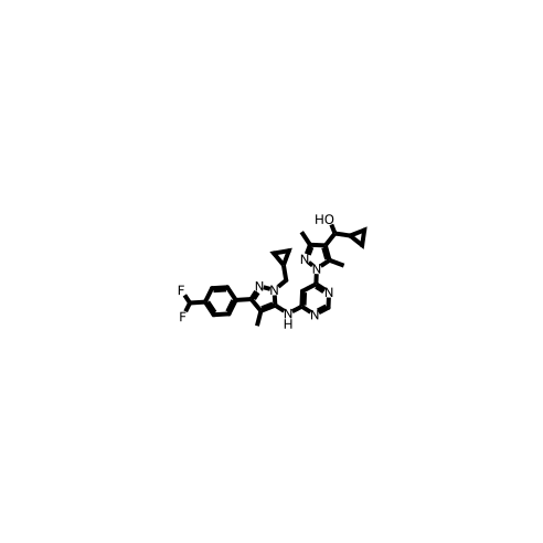 Cc1nn(-c2cc(Nc3c(C)c(-c4ccc(C(F)F)cc4)nn3CC3CC3)ncn2)c(C)c1C(O)C1CC1